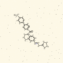 Cc1ccc(-c2ccc(C(=O)N3CCCc4cc(/C=C/CN5CCCC5)ccc43)nc2)cc1